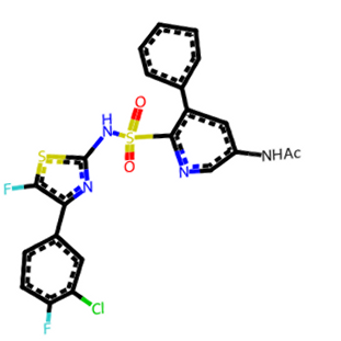 CC(=O)Nc1cnc(S(=O)(=O)Nc2nc(-c3ccc(F)c(Cl)c3)c(F)s2)c(-c2ccccc2)c1